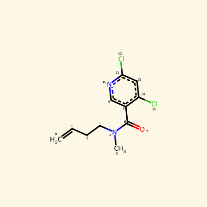 C=CCCN(C)C(=O)c1cnc(Cl)cc1Cl